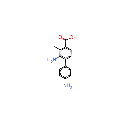 Cc1c(C(=O)O)ccc(-c2ccc(N)cc2)c1N